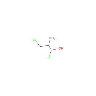 NC(CCl)C(O)Cl